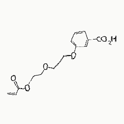 C=CC(=O)OCCOCCOc1cccc(C(=O)O)c1